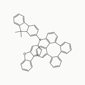 CC1(C)c2ccccc2C2C=CC(N(c3ccc4c(c3)oc3ccccc34)c3cccc4c3-c3ccccc3-c3ccccc3-c3ccccc3-4)=CC21